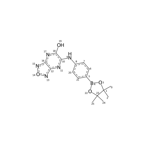 CC1(C)OB(c2ccc(Nc3nc4nonc4nc3O)cc2)OC1(C)C